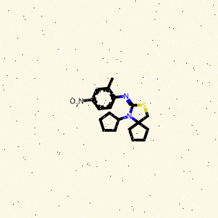 Cc1cc([N+](=O)[O-])ccc1/N=C1/SCC2(CCCC2)N1C1CCCC1